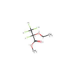 CCOC(F)(C(=O)OC)C(F)(F)F